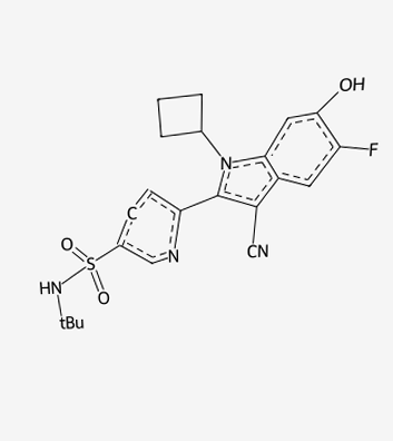 CC(C)(C)NS(=O)(=O)c1ccc(-c2c(C#N)c3cc(F)c(O)cc3n2C2CCC2)nc1